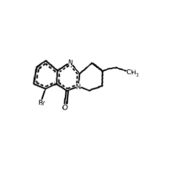 CCC1CCn2c(nc3cccc(Br)c3c2=O)C1